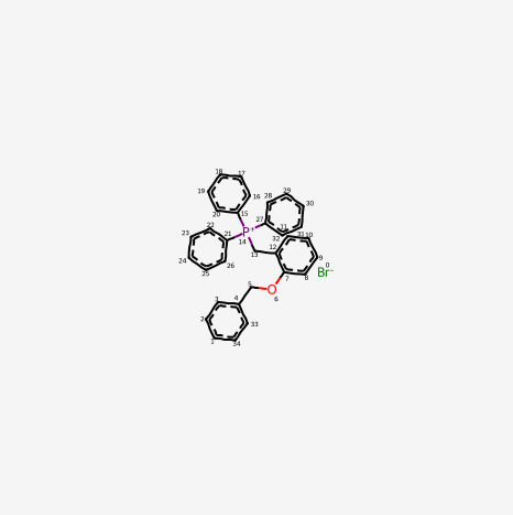 [Br-].c1ccc(COc2ccccc2C[P+](c2ccccc2)(c2ccccc2)c2ccccc2)cc1